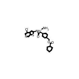 NC[C@@H](C(=O)Nc1cc2c(Cl)cncc2s1)c1ccc(COC(=O)c2ccccc2)cc1